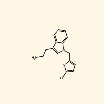 NCCc1cn(Cc2ccc(Cl)s2)c2ccccc12